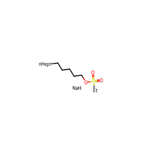 CCCCCCCCCCCCOS(=O)(=O)CC.[NaH]